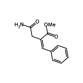 COC(=O)C(=Cc1ccccc1)CC(N)=O